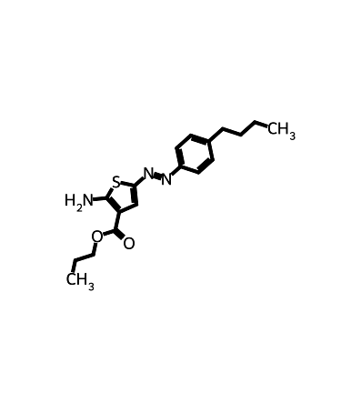 CCCCc1ccc(N=Nc2cc(C(=O)OCCC)c(N)s2)cc1